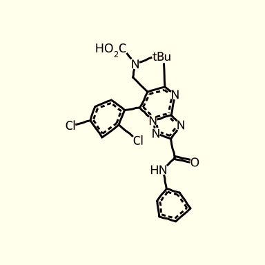 Cc1nc2nc(C(=O)Nc3ccccc3)nn2c(-c2ccc(Cl)cc2Cl)c1CN(C(=O)O)C(C)(C)C